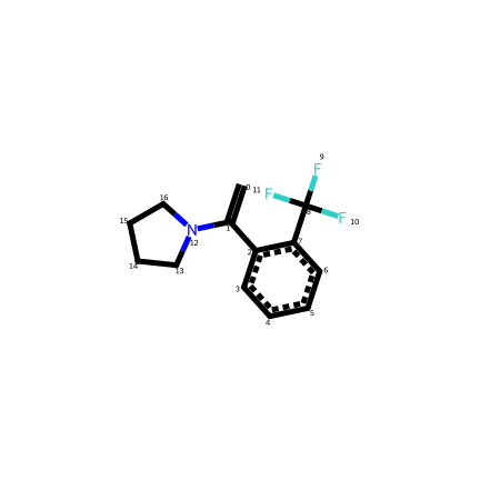 C=C(c1ccccc1C(F)(F)F)N1CCCC1